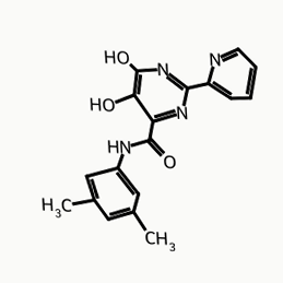 Cc1cc(C)cc(NC(=O)c2nc(-c3ccccn3)nc(O)c2O)c1